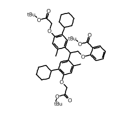 Cc1cc(OCC(=O)OC(C)(C)C)c(C2CCCCC2)cc1C(COc1ccccc1C(=O)OC(C)(C)C)c1cc(C2CCCCC2)c(OCC(=O)OC(C)(C)C)cc1C